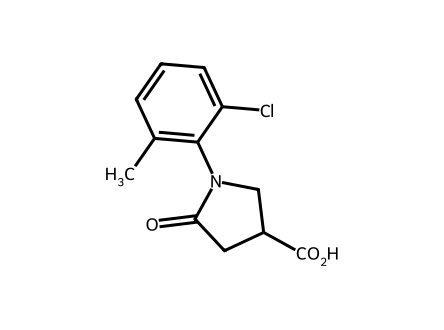 Cc1cccc(Cl)c1N1CC(C(=O)O)CC1=O